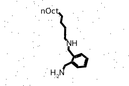 CCCCCCCCCCCCNCc1ccccc1CN